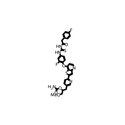 COCC(Cc1ccc(-c2cc3nccc(Oc4ccc(NC(=S)NC(=O)Cc5ccc(F)cc5)cc4F)c3s2)nc1)OC(N)=O